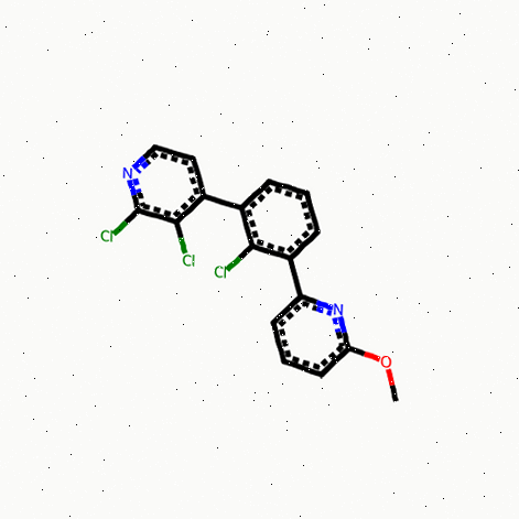 COc1[c]ccc(-c2cccc(-c3ccnc(Cl)c3Cl)c2Cl)n1